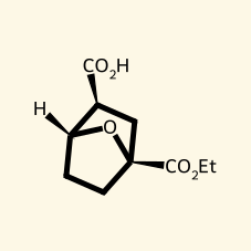 CCOC(=O)[C@@]12CC[C@@H](O1)[C@@H](C(=O)O)C2